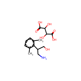 Cc1cccc(C)c1C(CN)CO.O=C(O)C(O)C(O)C(=O)O